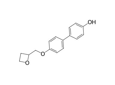 Oc1ccc(-c2ccc(OCC3CCO3)cc2)cc1